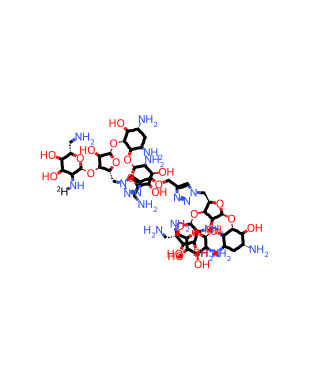 [2H]NC1C(O)C(O)[C@H](CN)O[C@@H]1O[C@@H]1C(O)[C@H](O[C@H]2C(O[C@H]3OC(CN)C(O)[C@H](O)C3N)C(N)C[C@@H](N)C2O)O[C@@H]1Cn1cc(COCc2cn(C[C@H]3O[C@@H](O[C@H]4C(O[C@H]5OC(CN)C(O)[C@H](O)C5N)C(N)C[C@@H](N)C4O)C(O)[C@H]3O[C@H]3O[C@@H](CN)C(O)C(O)C3N)nn2)nn1